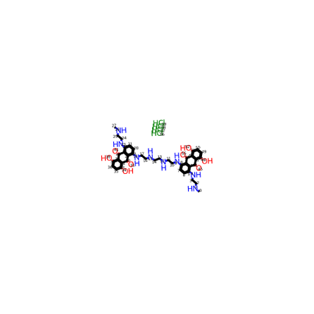 CNCCNc1ccc(NCCNCCNCCNc2ccc(NCCNC)c3c2C(=O)c2c(O)ccc(O)c2C3=O)c2c1C(=O)c1c(O)ccc(O)c1C2=O.Cl.Cl.Cl.Cl